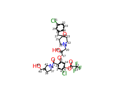 O=C(c1cc(Cl)c(OC(=O)C(F)(F)F)cc1OC[C@H](O)CN1CCC2(CC1)Cc1cc(Cl)ccc1O2)N1CC[C@@H](CO)C1